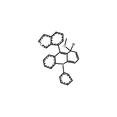 COC1(Br)C=CC=C2C1=C(c1cccc3ccccc13)c1ccccc1N2c1ccccc1